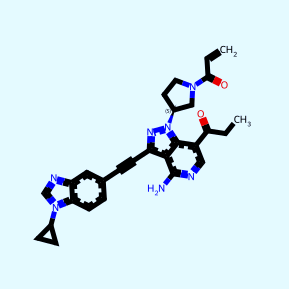 C=CC(=O)N1CC[C@H](n2nc(C#Cc3ccc4c(c3)ncn4C3CC3)c3c(N)ncc(C(=O)CC)c32)C1